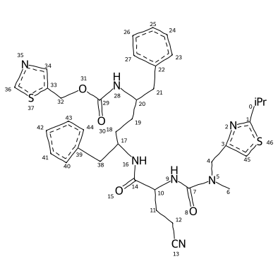 CC(C)c1nc(CN(C)C(=O)NC(CCC#N)C(=O)NC(CCC(Cc2ccccc2)NC(=O)OCc2cncs2)Cc2ccccc2)cs1